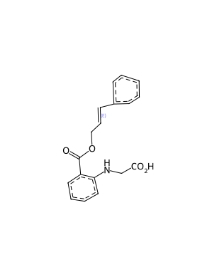 O=C(O)CNc1ccccc1C(=O)OC/C=C/c1ccccc1